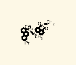 C=CCN1C(=O)c2cccc3c(N(C)CCOC(=O)C4(C)CCC=C5C6CCC(C(C)C)=CC6=CCC54)ccc(c23)C1=O